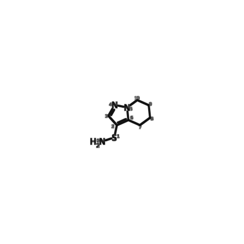 NSc1cnn2c1CCCC2